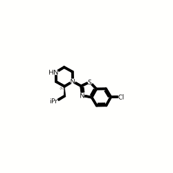 CC(C)C[C@H]1CNCCN1c1nc2ccc(Cl)cc2s1